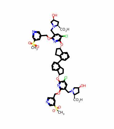 CS(=O)(=O)c1cncc(COc2nc(O[C@H]3CCc4c(-c5cccc6c5CC[C@@H]6Oc5nc(OCc6cncc(S(C)(=O)=O)c6)c(CN6C[C@@H](O)C[C@H]6C(=O)O)cc5Cl)cccc43)c(Cl)cc2CN2C[C@@H](O)C[C@H]2C(=O)O)c1